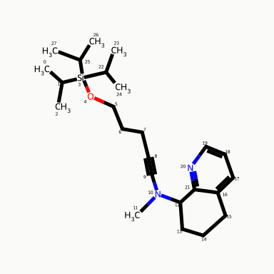 CC(C)[Si](OCCCC#CN(C)C1CCCc2cccnc21)(C(C)C)C(C)C